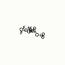 COC(=O)C(C)(C)c1cccc(CNC(=O)c2c(C)nc3c(OCc4c(F)cccc4F)cccn23)c1